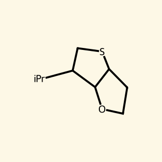 CC(C)C1CSC2CCOC21